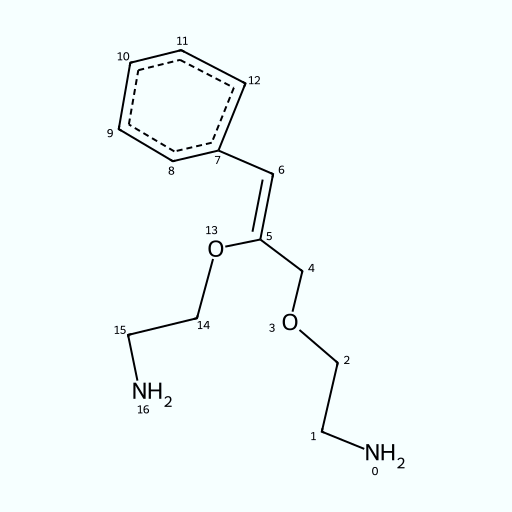 NCCOCC(=Cc1ccccc1)OCCN